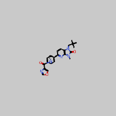 Cn1c(=O)n(CC(C)(C)C)c2ccc(C3=CC4CCC3CN4C(=O)c3cocn3)nc21